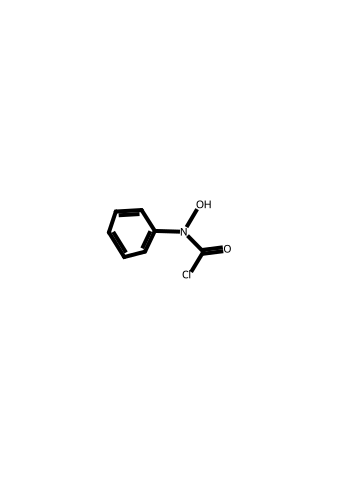 O=C(Cl)N(O)c1ccccc1